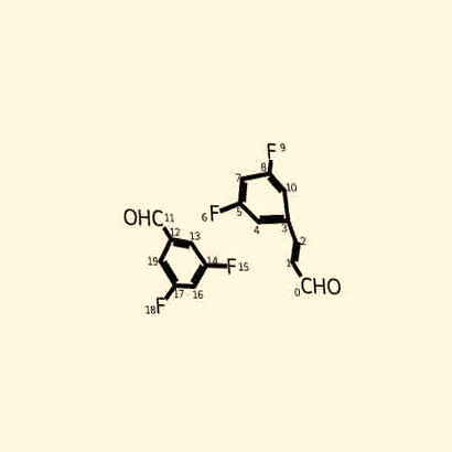 O=CC=Cc1cc(F)cc(F)c1.O=Cc1cc(F)cc(F)c1